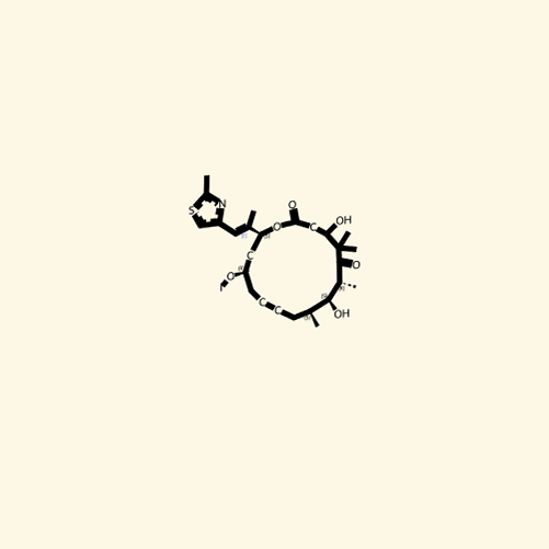 C/C(=C\c1csc(C)n1)[C@@H]1C[C@H](OI)CCCC[C@H](C)[C@H](O)[C@@H](C)C(=O)C(C)(C)C(O)CC(=O)O1